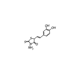 NN1C(=O)C(C=Cc2ccc(O)c(O)c2)SC1=S